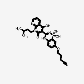 CC(C)CCn1c(=O)c(C2=NS(O)(O)c3cc(OCCCC#N)ccc3N2)c(O)c2cccnc21